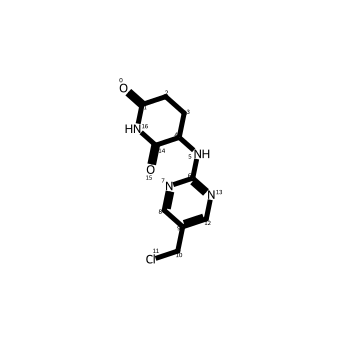 O=C1CCC(Nc2ncc(CCl)cn2)C(=O)N1